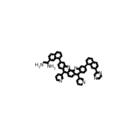 N/C=C(\N)c1ccc2cccc(-c3ccc4c(-c5cccnc5)c5ccc6c(-c7cccnc7)c7ccc(-c8cccc9ccc(-c%10cnccn%10)cc89)cc7nc6c5nc4c3)c2c1